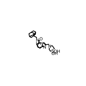 O=C(NCC12CC3CC(CC(C3)C1)C2)c1cccc2nc(CN3CCS(O)(O)CC3)cn12